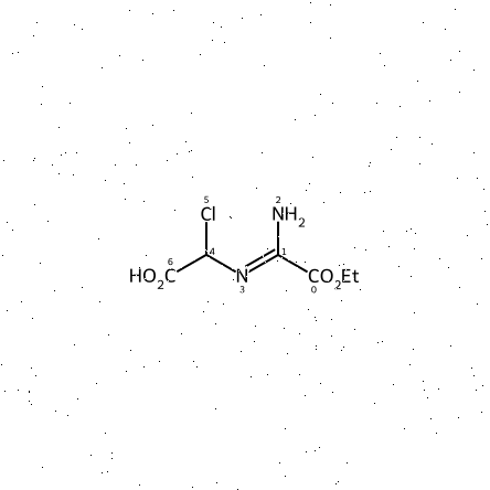 CCOC(=O)C(N)=NC(Cl)C(=O)O